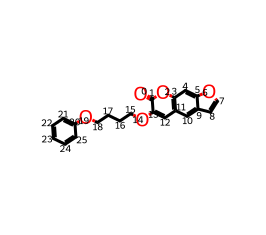 O=c1oc2cc3occc3cc2cc1OCCCCOc1ccccc1